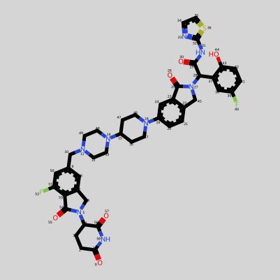 O=C1CCC(N2Cc3cc(CN4CCN(C5CCN(c6ccc7c(c6)C(=O)N(C(C(=O)Nc6nccs6)c6cc(F)ccc6O)C7)CC5)CC4)cc(F)c3C2=O)C(=O)N1